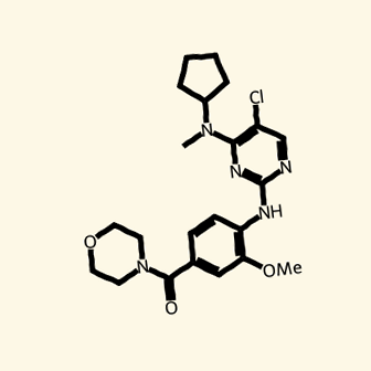 COc1cc(C(=O)N2CCOCC2)ccc1Nc1ncc(Cl)c(N(C)C2CCCC2)n1